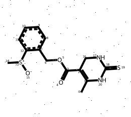 CC1=C(C(=O)OCc2ccccc2[S+](C)[O-])CNC(=S)N1